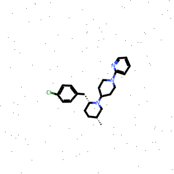 C[C@@H]1CC[C@H](Cc2ccc(Cl)cc2)N(C2CCN(c3ccccn3)CC2)C1